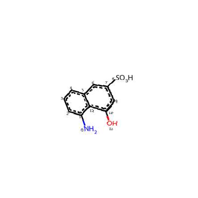 Nc1[c]ccc2cc(S(=O)(=O)O)cc(O)c12